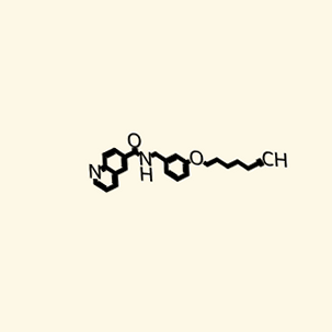 C#CCCCCCOc1cccc(CNC(=O)c2ccc3ncccc3c2)c1